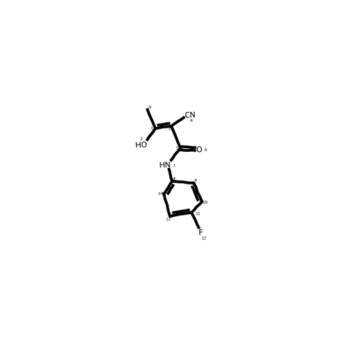 CC(O)=C(C#N)C(=O)Nc1ccc(F)cc1